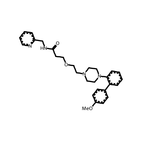 COc1ccc(-c2ccccc2N2CCN(CCOCCC(=O)NCc3ccccn3)CC2)cc1